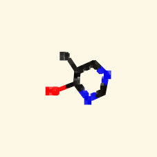 CCc1cncnc1O